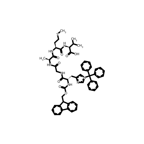 CSCC[C@H](NC(=O)[C@H](C)NC(=O)CNC(=O)[C@H](Cc1cn(C(c2ccccc2)(c2ccccc2)c2ccccc2)cn1)NC(=O)OCC1c2ccccc2-c2ccccc21)C(=O)N[C@H](C(=O)O)C(C)C